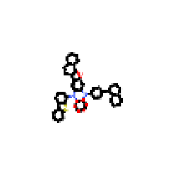 c1ccc(N(c2ccc(-c3cccc4ccccc34)cc2)c2cc3oc4c5ccccc5ccc4c3cc2N(c2ccccc2)c2cccc3c2sc2ccccc23)cc1